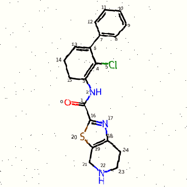 O=C(NC1=C(Cl)C(c2ccccc2)=CCC1)c1nc2c(s1)CNCC2